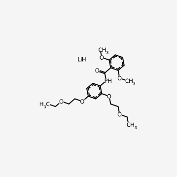 CCOCCOc1ccc(PC(=O)c2c(OC)cccc2OC)c(OCCOCC)c1.[LiH]